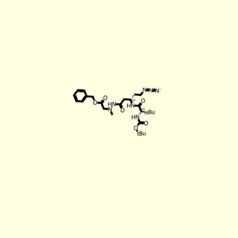 CC[C@H](C)[C@H](NC(=O)OC(C)(C)C)C(=O)N[C@@H](CCN=[N+]=[N-])CC(=O)NN(C)CC(=O)OCc1ccccc1